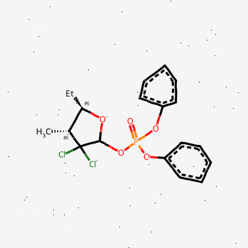 CC[C@H]1OC(OP(=O)(Oc2ccccc2)Oc2ccccc2)C(Cl)(Cl)[C@@H]1C